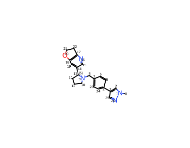 Cn1cc(-c2ccc(CN3CCC[C@H]3c3cnc4c(c3)OCC4)cc2)cn1